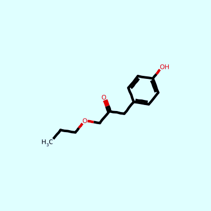 CCCOCC(=O)Cc1ccc(O)cc1